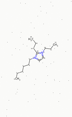 CCCCCCn1cc[n+](CCC)c1CCC